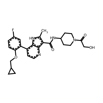 Cc1[nH]c2c(-c3cc(F)ccc3OCC3CC3)ccnc2c1C(=O)NC1CCN(C(=O)CO)CC1